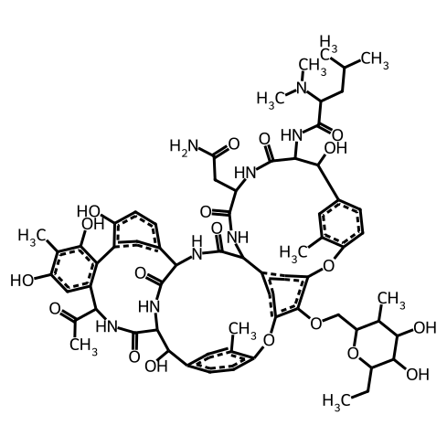 CCC1OC(COc2c3cc4cc2Oc2ccc(cc2C)C(O)C(NC(=O)C(CC(C)C)N(C)C)C(=O)NC(CC(N)=O)C(=O)NC4C(=O)NC2C(=O)NC(C(=O)NC(C(C)=O)c4cc(O)c(C)c(O)c4-c4cc2ccc4O)C(O)c2ccc(c(C)c2)O3)C(C)C(O)C1O